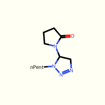 CCCCCN1N=NCC1N1CCCC1=O